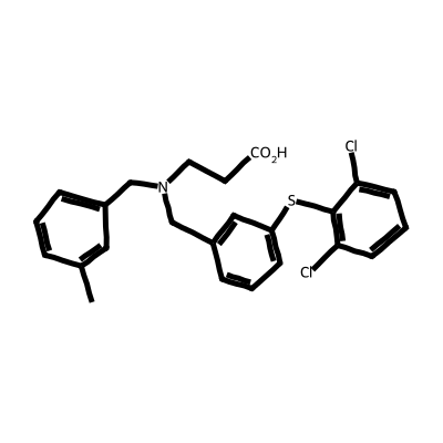 Cc1cccc(CN(CCC(=O)O)Cc2cccc(Sc3c(Cl)cccc3Cl)c2)c1